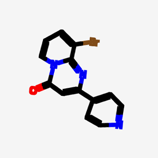 O=c1cc(-c2ccncc2)nc2c(Br)cccn12